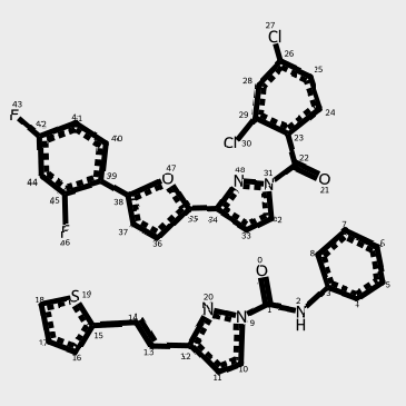 O=C(Nc1ccccc1)n1ccc(C=Cc2cccs2)n1.O=C(c1ccc(Cl)cc1Cl)n1ccc(-c2ccc(-c3ccc(F)cc3F)o2)n1